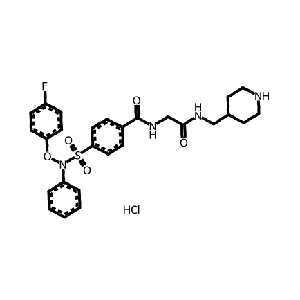 Cl.O=C(CNC(=O)c1ccc(S(=O)(=O)N(Oc2ccc(F)cc2)c2ccccc2)cc1)NCC1CCNCC1